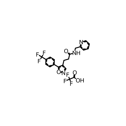 O=C(CCc1cnoc1-c1ccc(C(F)(F)F)cc1)NCc1ccccn1.O=C(O)C(F)(F)F